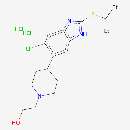 CCC(CC)Sc1nc2cc(Cl)c(C3CCN(CCO)CC3)cc2[nH]1.Cl.Cl